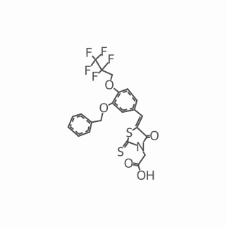 O=C(O)CN1C(=O)C(=Cc2ccc(OCC(F)(F)C(F)(F)F)c(OCc3ccccc3)c2)SC1=S